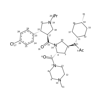 CC(=O)N([C@H]1C[C@H](C(=O)N2CCN(C)CC2)N(C(=O)[C@@H]2CN(C(C)C)C[C@H]2c2ccc(Cl)cc2)C1)[C@H]1CC[C@@H](C)CC1